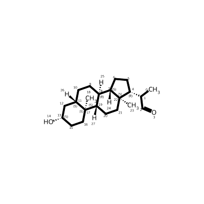 CC(C=O)[C@H]1CC[C@H]2[C@@H]3CC[C@H]4C[C@@H](O)CC[C@]4(C)[C@H]3CC[C@]12C